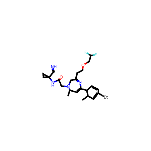 CCC1=CC(C)C(C2=CC(C)N(CC(=O)NC3(C=N)CC3)CC(CCOCC(F)F)=N2)C=C1